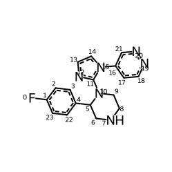 Fc1ccc(C2CNCCN2c2nccn2-c2ccnnc2)cc1